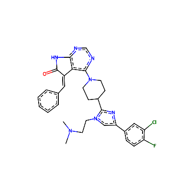 CN(C)CCn1cc(-c2ccc(F)c(Cl)c2)nc1C1CCN(c2ncnc3c2C(=Cc2ccccc2)C(=O)N3)CC1